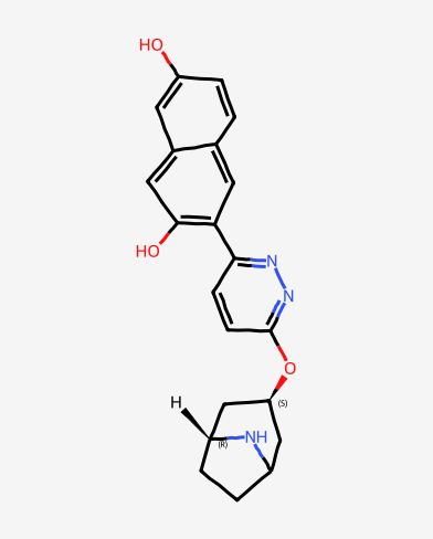 Oc1ccc2cc(-c3ccc(O[C@H]4CC5CC[C@H](C4)N5)nn3)c(O)cc2c1